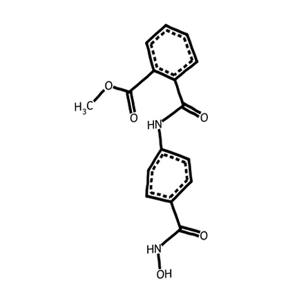 COC(=O)c1ccccc1C(=O)Nc1ccc(C(=O)NO)cc1